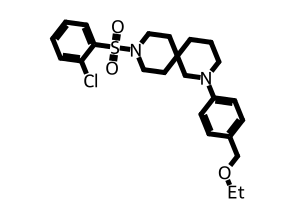 CCOCc1ccc(N2CCCC3(CCN(S(=O)(=O)c4ccccc4Cl)CC3)C2)cc1